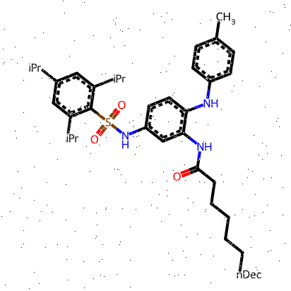 CCCCCCCCCCCCCCCC(=O)Nc1cc(NS(=O)(=O)c2c(C(C)C)cc(C(C)C)cc2C(C)C)ccc1Nc1ccc(C)cc1